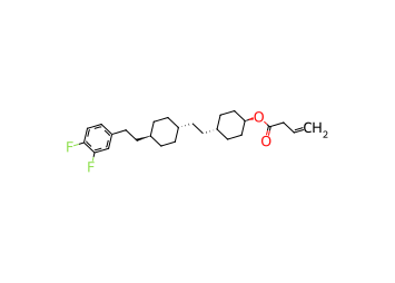 C=CCC(=O)O[C@H]1CC[C@H](CC[C@H]2CC[C@H](CCc3ccc(F)c(F)c3)CC2)CC1